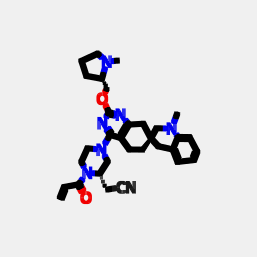 C=CC(=O)N1CCN(c2nc(OC[C@@H]3CCCN3C)nc3c2CC[C@@]2(Cc4ccccc4N(C)C2)C3)C[C@@H]1CC#N